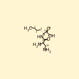 CCCC[C@@H](NC(=O)[C@H](N)CN)C(=O)O